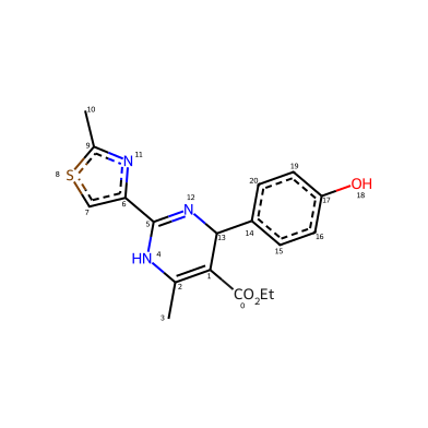 CCOC(=O)C1=C(C)NC(c2csc(C)n2)=NC1c1ccc(O)cc1